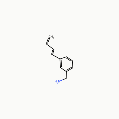 C=CC=Cc1cccc(CN)c1